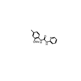 COc1cc(C)ccc1NC(=O)Nc1ccccn1